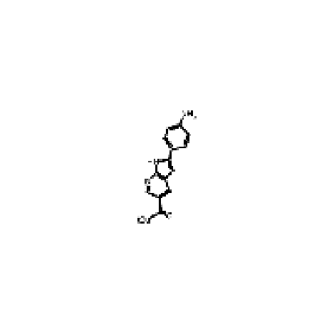 CC(C)(C)C(=O)c1cnc2[nH]c(-c3ccc(N)cc3)cc2c1